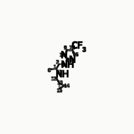 C[C@@H](CNc1ncc(C(F)(F)F)cn1)NCC1CC1